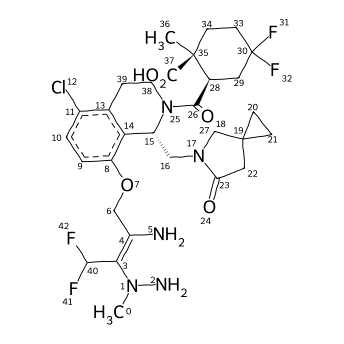 CN(N)/C(=C(\N)COc1ccc(Cl)c2c1[C@@H](CN1CC3(CC3)CC1=O)N(C(=O)[C@@H]1CC(F)(F)CC[C@]1(C)C(=O)O)CC2)C(F)F